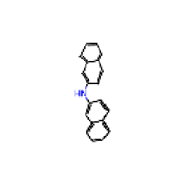 c1ccc2cc(Nc3ccc4ccccc4c3)ccc2c1